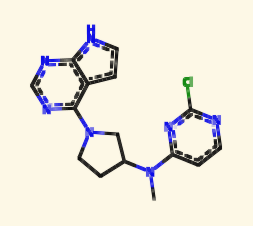 CN(c1ccnc(Cl)n1)C1CCN(c2ncnc3[nH]ccc23)C1